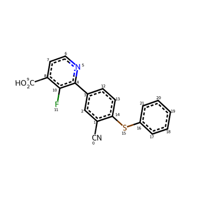 N#Cc1cc(-c2nccc(C(=O)O)c2F)ccc1Sc1ccccc1